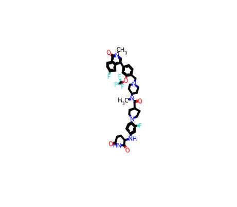 CN(C(=O)C1CCN(c2ccc(NC3CCC(=O)NC3=O)cc2F)CC1)C1CCN(Cc2ccc(-c3cn(C)c(=O)c4ccc(F)cc34)cc2OC(F)(F)F)CC1